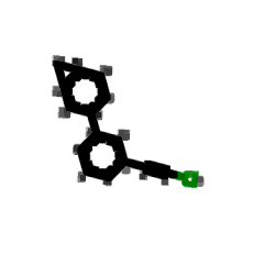 ClC#Cc1cccc(-c2ccc3c(c2)C3)c1